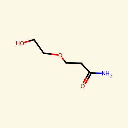 NC(=O)CCOCCO